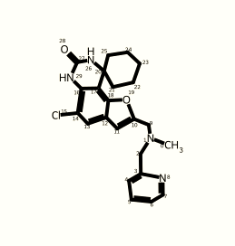 CN(Cc1ccccn1)Cc1cc2cc(Cl)c3c(c2o1)C1(CCCCC1)NC(=O)N3